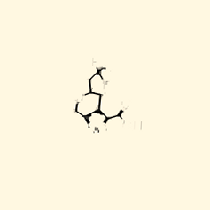 O=C(O)c1onc2c1CC(CC(F)(F)F)OC2